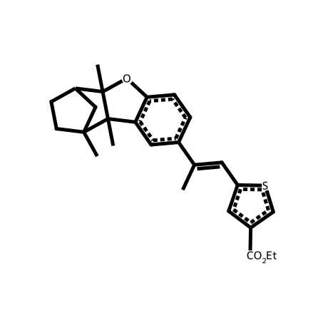 CCOC(=O)c1csc(/C=C(\C)c2ccc3c(c2)C2(C)C4(C)CCC(C4)C2(C)O3)c1